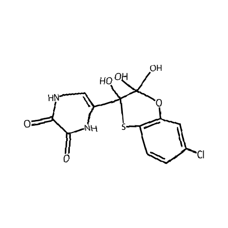 O=c1[nH]cc(C2(O)Sc3ccc(Cl)cc3OC2(O)O)[nH]c1=O